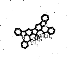 CC1(C)c2c(cc3c4ccccc4n4c3c2C(C)(C)c2ccccc2-4)-c2cc3c4ccccc4n4c3c(c21)C(C)(C)c1ccccc1-4